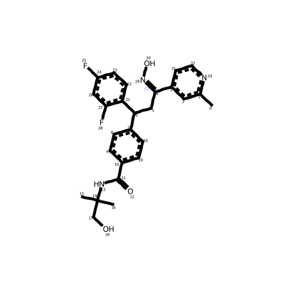 Cc1cc(/C(CC(c2ccc(C(=O)NC(C)(C)CO)cc2)c2ccc(F)cc2F)=N\O)ccn1